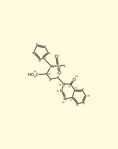 CS(=O)(=O)N(c1ccccc1)C(CCn1nnc2ccccc2c1=O)C(=O)O